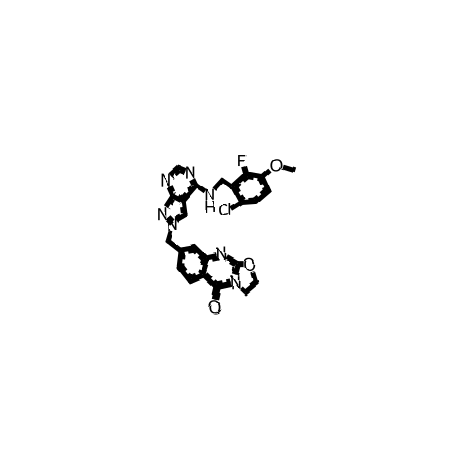 COc1ccc(Cl)c(CNc2ncnc3nn(Cc4ccc5c(=O)n6c(nc5c4)OCC6)cc23)c1F